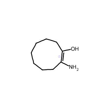 N/C1=C(\O)CCCCCCC1